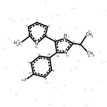 Cc1cccc(-c2[nH]c(C(C)C)nc2-c2c[c]c(F)cc2)n1